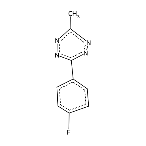 Cc1nnc(-c2ccc(F)cc2)nn1